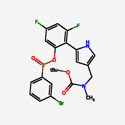 CN(Cc1c[nH]c(-c2c(F)cc(F)cc2OS(=O)c2cccc(Br)c2)c1)C(=O)OC(C)(C)C